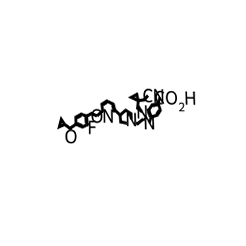 N#CCC1(Cn2c(CN3CCC(c4cccc(OCc5ccc(C(=O)C6CC6)cc5F)n4)CC3)nc3ccc(C(=O)O)cc32)CC1